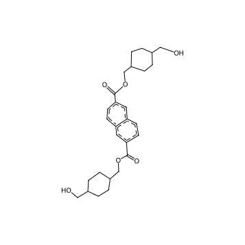 O=C(OCC1CCC(CO)CC1)c1ccc2cc(C(=O)OCC3CCC(CO)CC3)ccc2c1